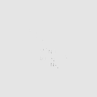 CC(C)(C)C(NC(=O)Cc1ccc(Cl)cc1)n1nnc2ccccc21